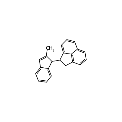 CC1=Cc2ccccc2C1C1Cc2cccc3cccc1c23